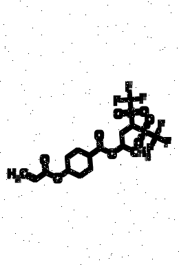 C=CC(=O)OC1CCC(C(=O)OC(C)CC(S(=O)(=O)C(F)(F)F)S(=O)(=O)C(F)(F)F)CC1